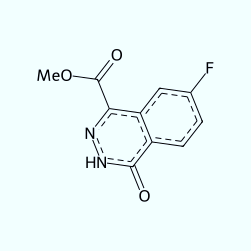 COC(=O)c1n[nH]c(=O)c2ccc(F)cc12